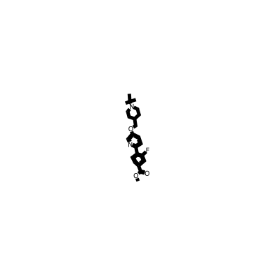 COC(=O)c1ccc(-c2ccc(OCC3CCN(C(C)(C)C)CC3)cn2)c(F)c1